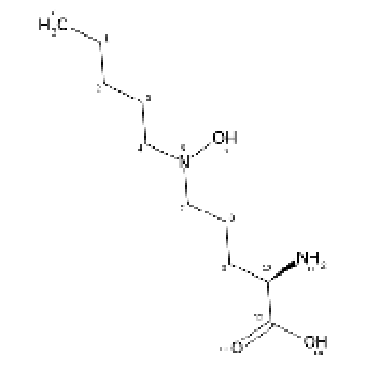 CCCCCN(O)CCC[C@@H](N)C(=O)O